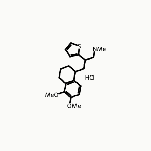 CNCC(CC1CCCc2c1ccc(OC)c2OC)c1cccs1.Cl